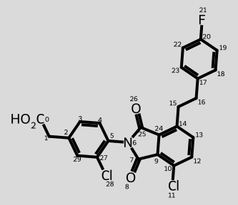 O=C(O)Cc1ccc(N2C(=O)c3c(Cl)ccc(CCc4ccc(F)cc4)c3C2=O)c(Cl)c1